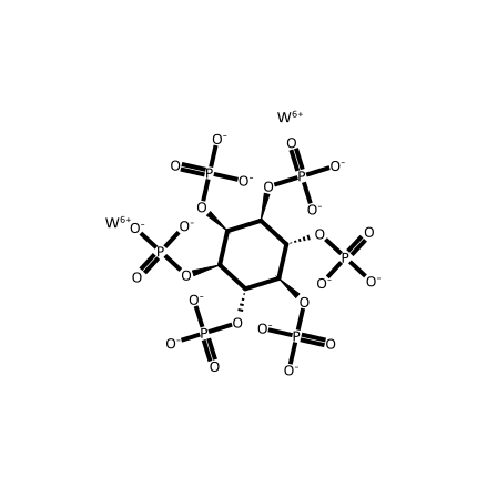 O=P([O-])([O-])O[C@H]1[C@H](OP(=O)([O-])[O-])[C@@H](OP(=O)([O-])[O-])[C@H](OP(=O)([O-])[O-])[C@@H](OP(=O)([O-])[O-])[C@H]1OP(=O)([O-])[O-].[W+6].[W+6]